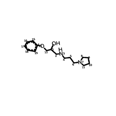 OC(CNCCCN1C[CH]CC1)COc1ccccc1